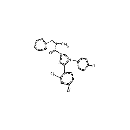 CN(Cc1ccccc1)C(=O)c1cn(-c2ccc(Cl)cc2)c(-c2ccc(Cl)cc2Cl)n1